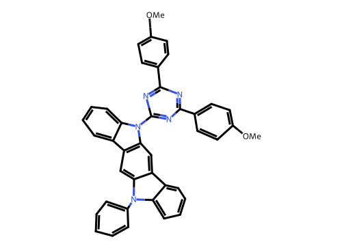 COc1ccc(-c2nc(-c3ccc(OC)cc3)nc(-n3c4ccccc4c4cc5c(cc43)c3ccccc3n5-c3ccccc3)n2)cc1